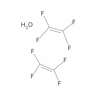 FC(F)=C(F)F.FC(F)=C(F)F.O